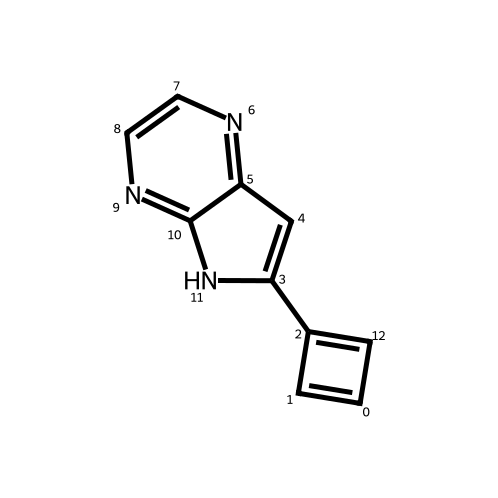 C1=CC(c2cc3nccnc3[nH]2)=C1